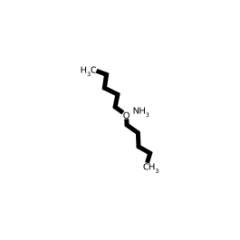 CCCCCOCCCCC.N